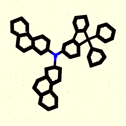 c1ccc(C2(c3ccccc3)c3ccccc3-c3cc(N(c4ccc5c(ccc6ccccc65)c4)c4ccc5c(ccc6ccccc65)c4)ccc32)cc1